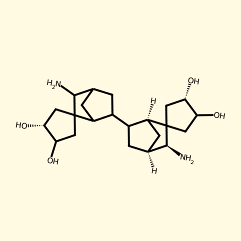 NC1C2CC(C3C[C@H]4C[C@@H]3C3(CC(O)[C@@H](O)C3)[C@H]4N)C(C2)C12CC(O)[C@H](O)C2